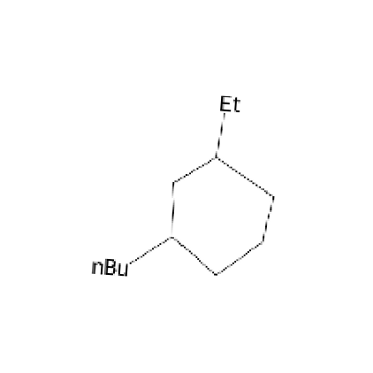 [CH2]CC1CCCC(CCCC)C1